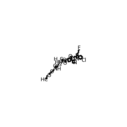 C#CCOCCOCCNC(=O)CCSNCC(C)OC(=O)N1CCC2(CC1)C(=O)N(Cc1nc3cc(Cl)ccc3n1CCCCF)c1cnccc12